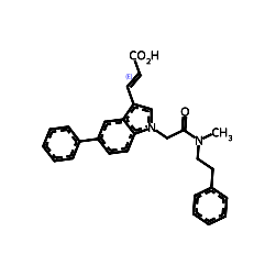 CN(CCc1ccccc1)C(=O)Cn1cc(/C=C/C(=O)O)c2cc(-c3ccccc3)ccc21